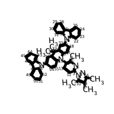 Cc1nc(-n2nc(C)c(C)c2C)ccc1N1c2ccc(-n3c4ccccc4c4ccccc43)cc2C(C)(C)c2cc(-n3c4ccccc4c4ccccc43)ccc21